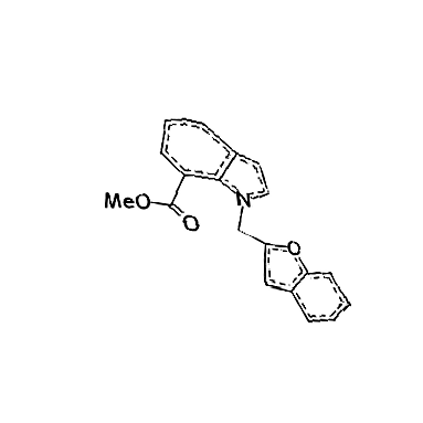 COC(=O)c1cccc2ccn(Cc3cc4ccccc4o3)c12